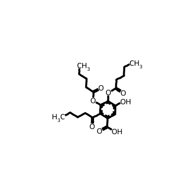 CCCCC(=O)Oc1c(O)cc(C(=O)O)c(C(=O)CCCC)c1OC(=O)CCCC